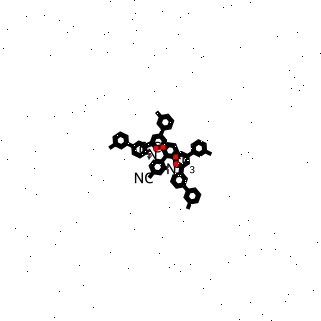 Cc1cccc(-c2ccc3c(c2)c2cc(-c4cccc(C)c4)ccc2n3-c2cc(C#N)cc(-n3c4ccc(-c5cccc(C)c5)cc4c4cc(-c5cccc(C)c5)ccc43)c2-c2c(C(F)(F)F)cccc2C(F)(F)F)c1